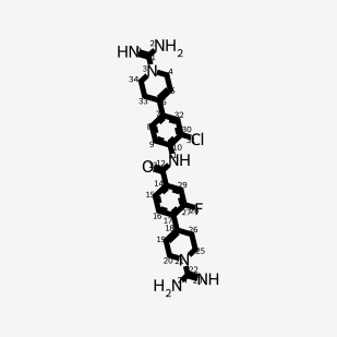 N=C(N)N1CC=C(c2ccc(NC(=O)c3ccc(C4=CCN(C(=N)N)CC4)c(F)c3)c(Cl)c2)CC1